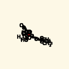 C[C@@H](C(=O)O)N(CCOCCOCCC(=O)OC(C)(C)C)C12CC=CC=C1C(COC=O)c1ccccc12